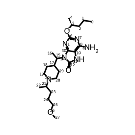 CCC[C@H](C)Oc1nc(N)c2[nH]c(=O)n(C(C)C3CCN(C(C)CCCOC)CC3)c2n1